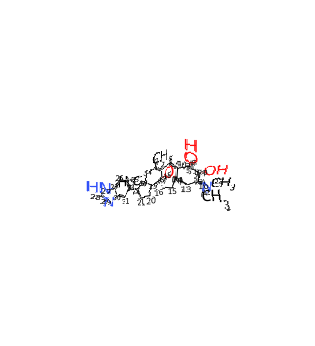 CC1=C2C=C3[C@@H](O)[C@H](O)[C@@H](N(C)C)C[C@]34CC[C@]2(O4)C2CC=C(c3ccc4[nH]cnc4c3)[C@@]2(C)C1